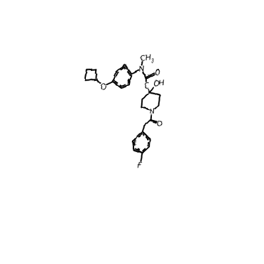 CN(C(=O)CC1(O)CCN(C(=O)Cc2ccc(F)cc2)CC1)c1ccc(OC2CCC2)cc1